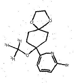 [2H]C([2H])([2H])OC1(c2cccc(Br)n2)CCC2(CC1)OCCO2